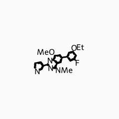 CCOc1cc(F)cc(-c2cc(OC)c3nc(-c4cccnc4)nc(NC)c3c2)c1